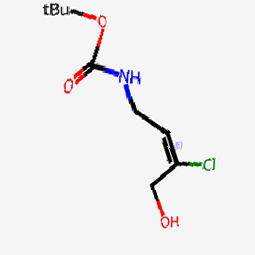 CC(C)(C)OC(=O)NC/C=C(/Cl)CO